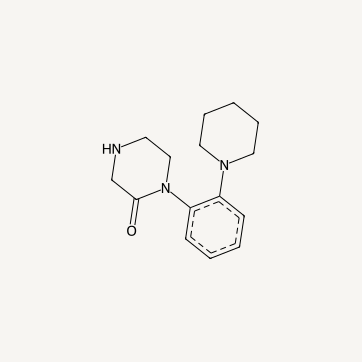 O=C1CNCCN1c1ccccc1N1CCCCC1